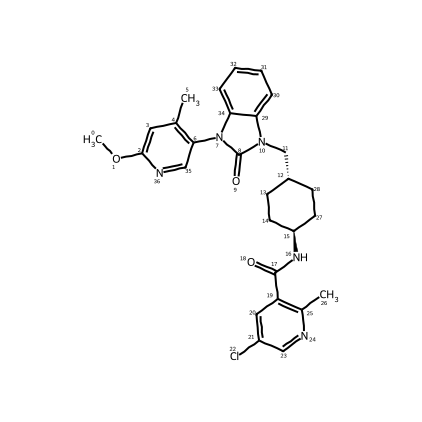 COc1cc(C)c(-n2c(=O)n(C[C@H]3CC[C@H](NC(=O)c4cc(Cl)cnc4C)CC3)c3ccccc32)cn1